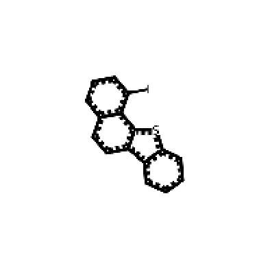 Ic1cccc2ccc3c4ccccc4sc3c12